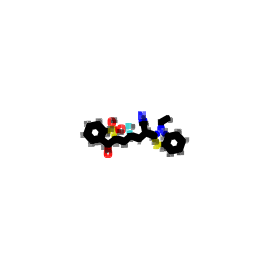 CCN1/C(=C(C#N)/C=C(F)/C=C2/C(=O)c3ccccc3S2(=O)=O)Sc2ccccc21